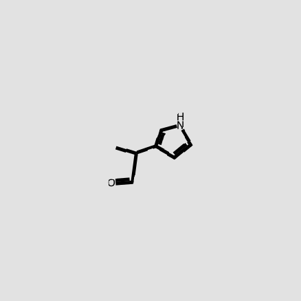 CC(C=O)c1cc[nH]c1